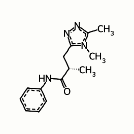 Cc1nnc(C[C@H](C)C(=O)Nc2ccccc2)n1C